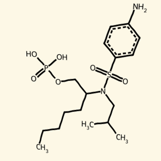 CCCCCC(COP(=O)(O)O)N(CC(C)C)S(=O)(=O)c1ccc(N)cc1